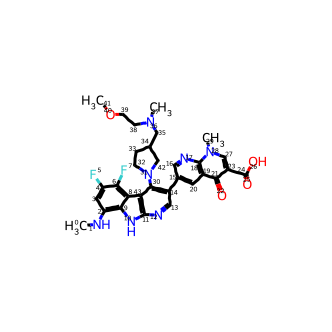 CNc1cc(F)c(F)c2c1[nH]c1ncc(-c3cnc4c(c3)c(=O)c(C(=O)O)cn4C)c(N3CCC(CN(C)CCOC)C3)c12